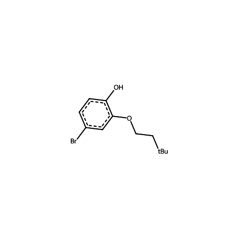 CC(C)(C)CCOc1cc(Br)ccc1O